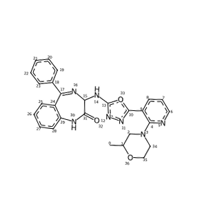 CC1CN(c2ncccc2-c2nnc(NC3N=C(c4ccccc4)c4ccccc4NC3=O)o2)CCO1